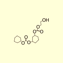 O=C(OCCO)OC1CCCC(OC(=O)OC2CCCCC2)C1